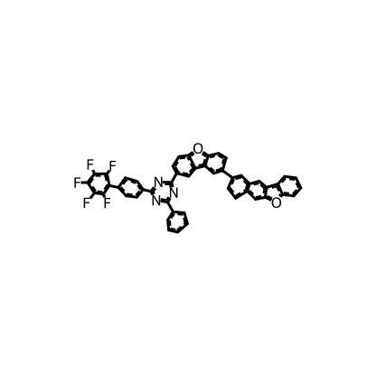 Fc1c(F)c(F)c(-c2ccc(-c3nc(-c4ccccc4)nc(-c4ccc5oc6ccc(-c7ccc8cc9oc%10ccccc%10c9cc8c7)cc6c5c4)n3)cc2)c(F)c1F